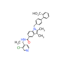 Cc1c(C)n(Cc2ccc(-c3ccccc3C(=O)O)cc2)c2ccc(C(=O)N[C@@H](C)c3ccncc3Cl)cc12